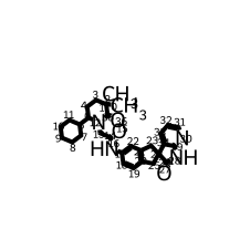 CC1(C)CCC(C2CCCCC2)N(CC(=O)Nc2ccc3c(c2)CC2(C3)C(=O)Nc3ncccc32)C1=O